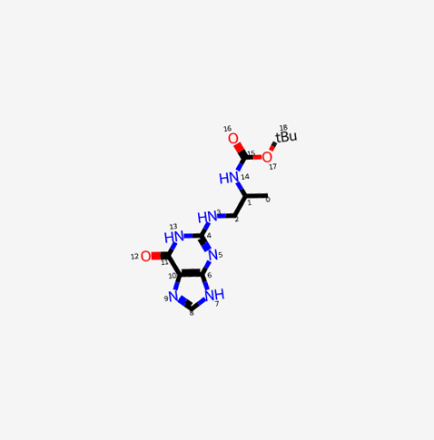 CC(CNc1nc2[nH]cnc2c(=O)[nH]1)NC(=O)OC(C)(C)C